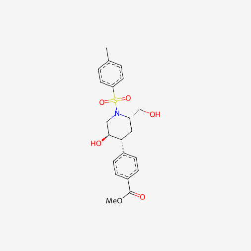 COC(=O)c1ccc([C@H]2C[C@@H](CO)N(S(=O)(=O)c3ccc(C)cc3)C[C@@H]2O)cc1